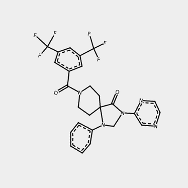 O=C(c1cc(C(F)(F)F)cc(C(F)(F)F)c1)N1CCC2(CC1)C(=O)N(c1cnccn1)CN2c1ccccc1